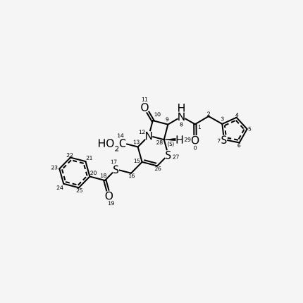 O=C(Cc1cccs1)NC1C(=O)N2C(C(=O)O)C(CSC(=O)c3ccccc3)=CS[C@@H]12